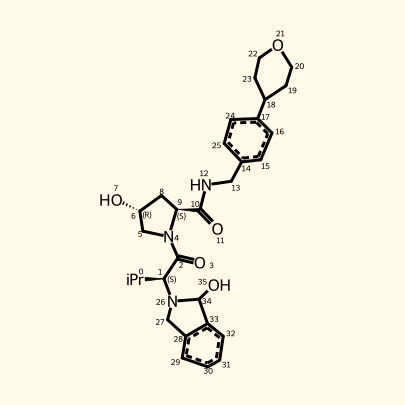 CC(C)[C@@H](C(=O)N1C[C@H](O)C[C@H]1C(=O)NCc1ccc(C2CCOCC2)cc1)N1Cc2ccccc2C1O